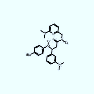 CCN(Cc1cccc(N(C)C)n1)C(=O)CN(c1cccc(N(C)C)c1)[S+]([O-])c1ccc(C(C)(C)C)cc1